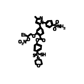 CCC(COc1cc(-c2cc(C)nn2-c2ccc(S(N)(=O)=O)cc2)ccc1C(=O)Oc1ccc(P(=S)(S)N2CCOCC2)cc1)O[N+](=O)[O-]